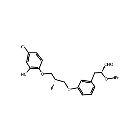 CC(C)O[C@H](C=O)Cc1cccc(OC[C@H](F)COc2ccc(Cl)cc2C#N)c1